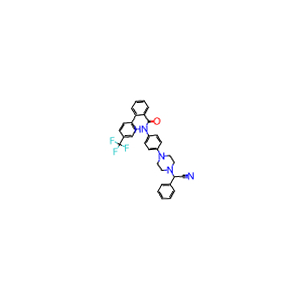 N#CC(c1ccccc1)N1CCN(c2ccc(NC(=O)c3ccccc3-c3ccc(C(F)(F)F)cc3)cc2)CC1